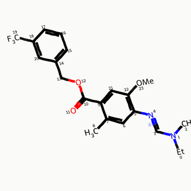 CCN(C)/C=N/c1cc(C)c(C(=O)OCc2cccc(C(F)(F)F)c2)cc1OC